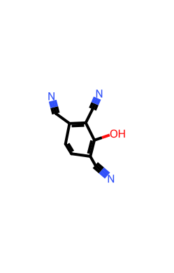 N#Cc1ccc(C#N)c(C#N)c1O